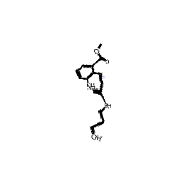 C=C(BCCCO)/C=C\c1c(N)cccc1C(=O)OC